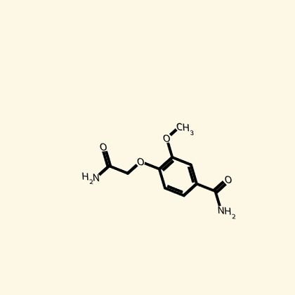 COc1cc(C(N)=O)ccc1OCC(N)=O